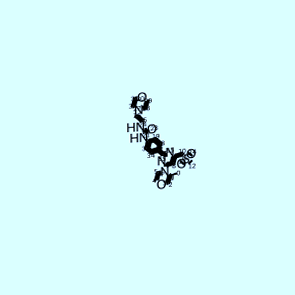 C[C@H]1COCCN1c1cc(CS(C)(=O)=O)nc(-c2ccc(NC(=O)NCCN3CCOCC3)cc2)n1